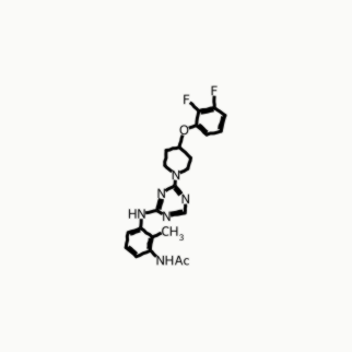 CC(=O)Nc1cccc(Nc2ncnc(N3CCC(Oc4cccc(F)c4F)CC3)n2)c1C